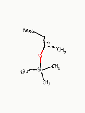 CSC[C@H](C)O[Si](C)(C)C(C)(C)C